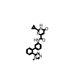 Cn1cnnc1-c1ccccc1-c1cccc(NC(=O)c2cc(=O)[nH]c(C3CC3)n2)c1